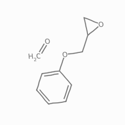 C=O.c1ccc(OCC2CO2)cc1